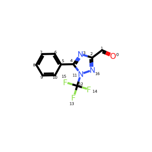 O=Cc1nc(-c2ccccc2)n(C(F)(F)F)n1